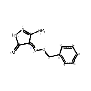 NC1=NNC(=O)/C1=N/OCc1ccccc1